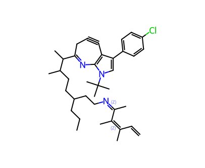 C=C/C(C)=C(C)\C(C)=N/CCC(CCC)CCC(C)C(C)C1=Nc2c(c(-c3ccc(Cl)cc3)cn2C(C)(C)C)C#CC1